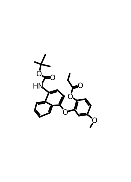 CCC(=O)Oc1ccc(OC)cc1Oc1ccc(NC(=O)OC(C)(C)C)c2ccccc12